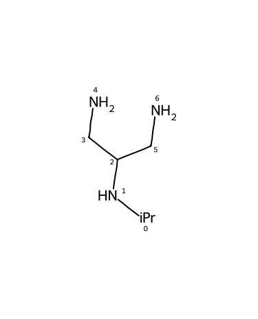 CC(C)NC(CN)CN